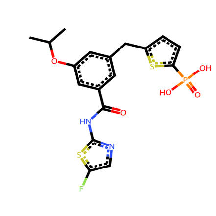 CC(C)Oc1cc(Cc2ccc(P(=O)(O)O)s2)cc(C(=O)Nc2ncc(F)s2)c1